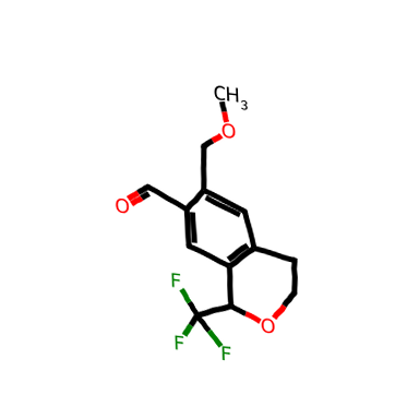 COCc1cc2c(cc1C=O)C(C(F)(F)F)OCC2